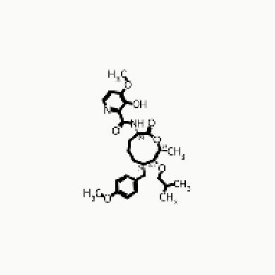 COc1ccc(C[C@H]2CCC[C@H](NC(=O)c3nccc(OC)c3O)C(=O)O[C@@H](C)[C@@H]2OCC(C)C)cc1